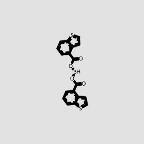 O=C(OBOC(=O)c1cccc2sccc12)c1cccc2sccc12